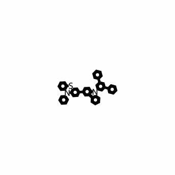 c1ccc(-c2cc(-c3ccccc3)cc(-n3c4ccccc4c4cc(-c5ccc6c(c5)Sc5ccccc5N6c5ccccc5)ccc43)c2)cc1